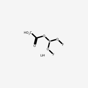 O=C(O)C(=O)OB(OF)OF.[LiH]